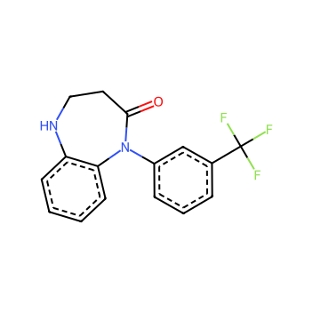 O=C1CCNc2ccccc2N1c1cccc(C(F)(F)F)c1